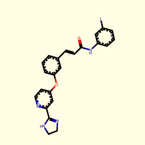 O=C(/C=C/c1cccc(Oc2ccnc(C3=NCCN3)c2)c1)Nc1cccc(I)c1